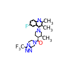 Cc1nc2ccc(F)cc2c(N2CC[C@H](C(=O)N3CCn4c(nnc4C(F)(F)F)C3)[C@H](C)C2)c1C